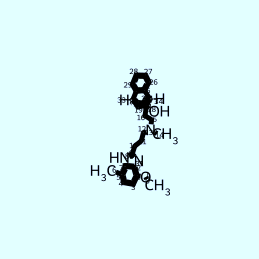 COc1ccc(C)c2[nH]c(CCCN(C)CC[C@@]3(O)C[C@@H]4CCC[C@H]3c3ccccc34)nc12